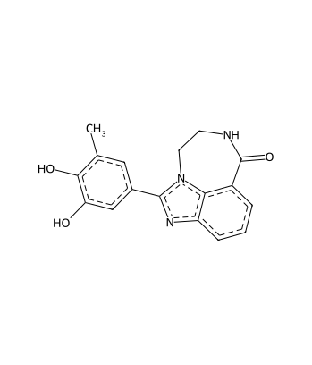 Cc1cc(-c2nc3cccc4c3n2CCNC4=O)cc(O)c1O